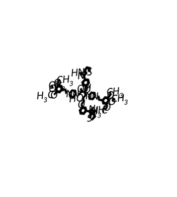 COc1cc(CCN2CCN(CC(O)C(Oc3ccc(-c4n[nH]c5ccsc45)cc3)C(C(O)COc3cccc(-c4n[nH]c5ccsc45)c3)N3CCN(CCc4cc(OC)c(OC)c(OC)c4)CC3)CC2)cc(OC)c1OC